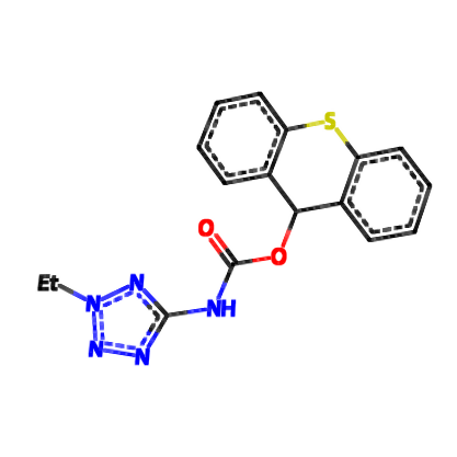 CCn1nnc(NC(=O)OC2c3ccccc3Sc3ccccc32)n1